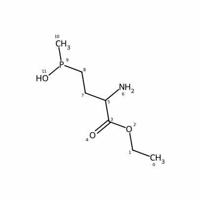 CCOC(=O)C(N)CCP(C)O